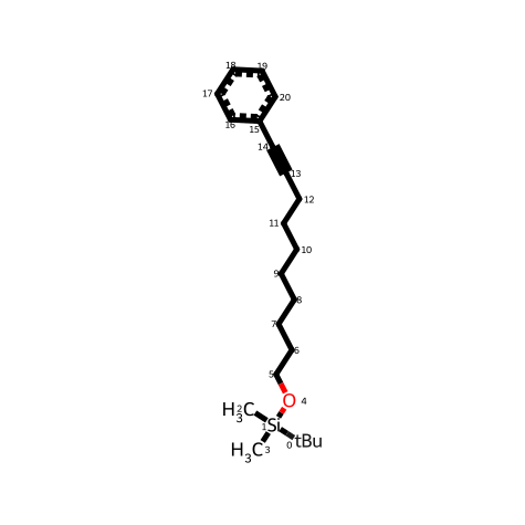 CC(C)(C)[Si](C)(C)OCCCCCCCCC#Cc1ccccc1